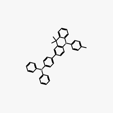 Cc1ccc(N2c3ccccc3C(C)(C)c3cc(-c4ccc(N(c5ccccc5)c5ccccc5)cc4)ccc32)cc1